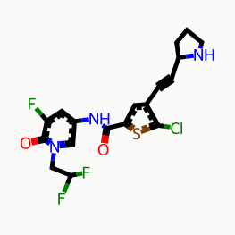 O=C(Nc1cc(F)c(=O)n(CC(F)F)c1)c1cc(C#CC2CCCN2)c(Cl)s1